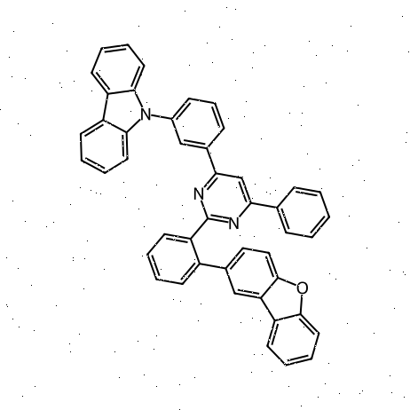 c1ccc(-c2cc(-c3cccc(-n4c5ccccc5c5ccccc54)c3)nc(-c3ccccc3-c3ccc4oc5ccccc5c4c3)n2)cc1